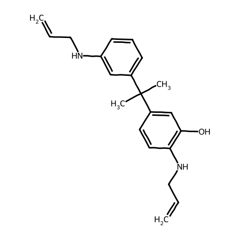 C=CCNc1cccc(C(C)(C)c2ccc(NCC=C)c(O)c2)c1